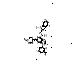 CN1CCN(c2nc(NCc3nc4ccccc4[nH]3)c3ncn(-c4cccc(F)c4)c3n2)CC1